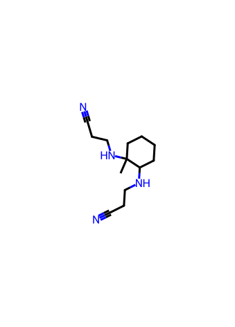 CC1(NCCC#N)CCCCC1NCCC#N